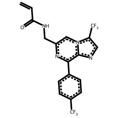 C=CC(=O)NCc1cn2c(C(F)(F)F)cnc2c(-c2ccc(C(F)(F)F)cc2)n1